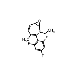 CCN1C(c2c(F)cc(F)cc2F)=C(C)C=CC2OC21